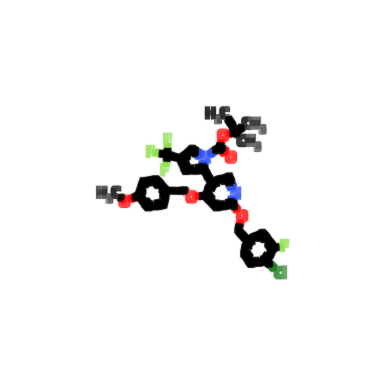 COc1ccc(COc2cc(OCc3ccc(Cl)c(F)c3)ncc2-c2cc(C(F)(F)F)cn2C(=O)OC(C)(C)C)cc1